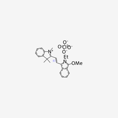 CCn1c(/C=C/C2=[N+](C)c3ccccc3C2(C)C)c2ccccc2c1OC.[O-][Cl+3]([O-])([O-])[O-]